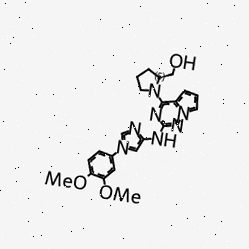 COc1ccc(-n2cnc(Nc3nc(N4CCC[C@H]4CO)c4cccn4n3)c2)cc1OC